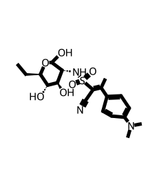 CC[C@H]1OC(O)[C@H](NS(=O)(=O)/C(C#N)=C(\C)c2ccc(N(C)C)cc2)[C@@H](O)[C@@H]1O